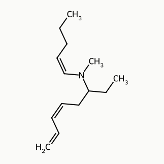 C=C/C=C\CC(CC)N(C)/C=C\CCC